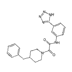 O=C(Nc1cccc(-c2nnn[nH]2)c1)C(=O)N1CCC(Cc2ccccc2)CC1